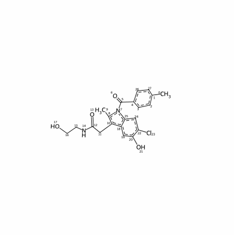 Cc1ccc(C(=O)n2c(C)c(CC(=O)NCCO)c3cc(O)c(Cl)cc32)cc1